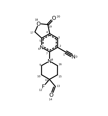 N#Cc1cc2c(nc1N1CCC(F)(C=O)CC1)COC2=O